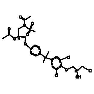 CC(=O)O[C@H](COc1ccc(C(C)(C)c2cc(Cl)c(OC[C@@H](O)CCl)c(Cl)c2)cc1)CN(C(C)=O)S(C)(=O)=O